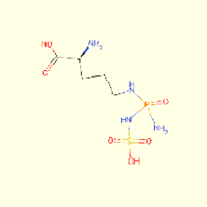 N[C@@H](CCCNP(N)(=O)NS(=O)(=O)O)C(=O)O